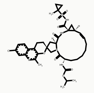 Cc1nc2cc(Cl)ccc2c2c1O[C@]1(CC2)C[C@H]2C(=O)N[C@]3(C(=O)NS(=O)(=O)C4(C)CC4)C[C@H]3/C=C\CCCCC[C@H](NC(=O)OC(C)C)C(=O)N2C1